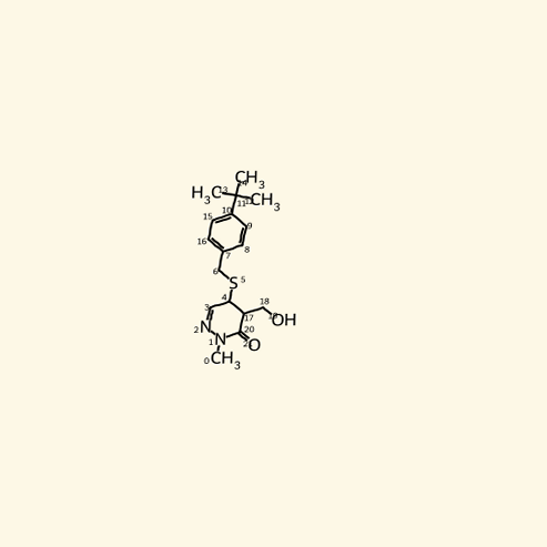 CN1N=CC(SCc2ccc(C(C)(C)C)cc2)C(CO)C1=O